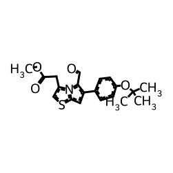 COC(=O)Cc1csc2cc(-c3ccc(OC(C)(C)C)cc3)c(C=O)n12